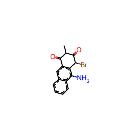 CC1C(=O)c2cc3ccccc3c(N)c2C(Br)C1=O